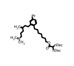 C=C(CCCN(C)C)CCc1cc(C(C)C)ccc1CCCCCCCOC(=O)C(CCCCCCCCCC)CCCCCCCCCC